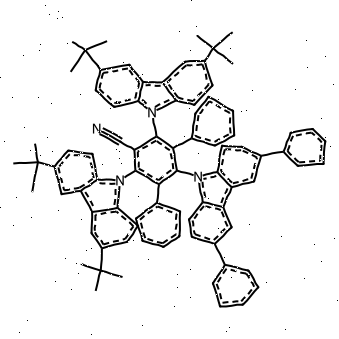 CC(C)(C)c1ccc2c(c1)c1cc(C(C)(C)C)ccc1n2-c1c(C#N)c(-n2c3ccc(C(C)(C)C)cc3c3cc(C(C)(C)C)ccc32)c(-c2ccccc2)c(-n2c3ccc(-c4ccccc4)cc3c3cc(-c4ccccc4)ccc32)c1-c1ccccc1